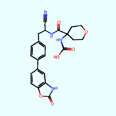 N#CC(Cc1ccc(-c2ccc3oc(=O)[nH]c3c2)cc1)NC(=O)C1(NC(=O)O)CCOCC1